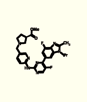 COC(=O)[C@@H]1CCN(Cc2ccc(Nc3ncc(F)c(-c4cc(F)c5nc(C)n(C(C)C)c5c4)n3)nc2)C1